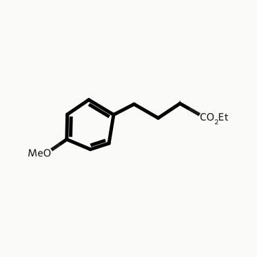 CCOC(=O)[CH]CCc1ccc(OC)cc1